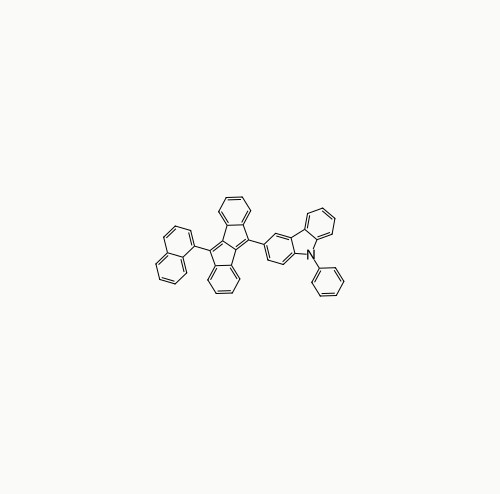 c1ccc(-n2c3ccccc3c3cc(C4=C5C(=C(c6cccc7ccccc67)c6ccccc65)c5ccccc54)ccc32)cc1